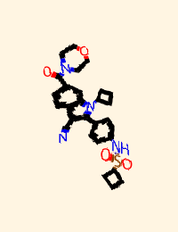 N#Cc1c(-c2ccc(NS(=O)(=O)C3CCC3)cc2)n(C2CCC2)c2cc(C(=O)N3CCOCC3)ccc12